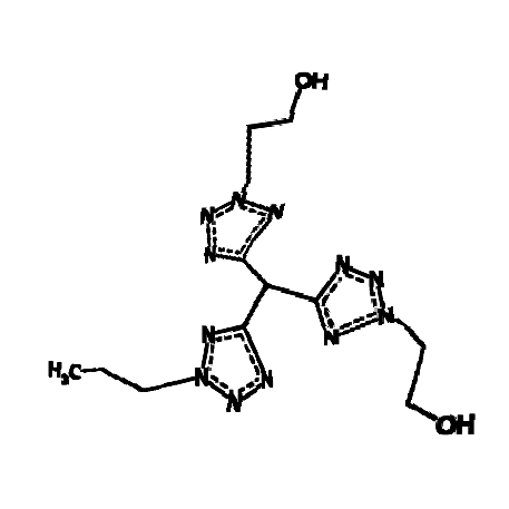 CCCn1nnc(C(c2nnn(CCO)n2)c2nnn(CCO)n2)n1